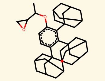 CC(Oc1ccc(C23CC4CC(CC(C4)C2)C3)c(C23CC4CC(CC(C4)C2)C3)c1C12CC3CC(CC(C3)C1)C2)C1CO1